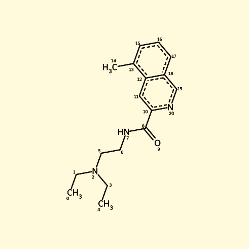 CCN(CC)CCNC(=O)c1cc2c(C)cccc2cn1